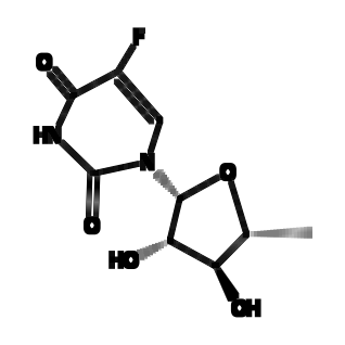 C[C@H]1O[C@@H](n2cc(F)c(=O)[nH]c2=O)[C@@H](O)[C@@H]1O